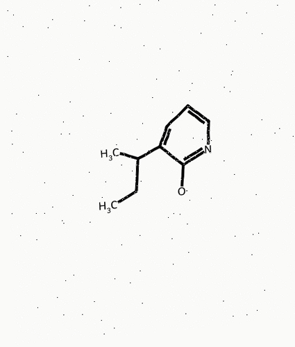 CCC(C)c1cccnc1[O]